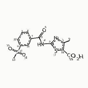 Cc1nc(NC(=O)c2cccc(S(C)(=O)=O)c2)sc1C(=O)O